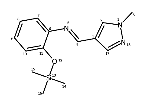 Cn1cc(C=Nc2ccccc2O[Si](C)(C)C)cn1